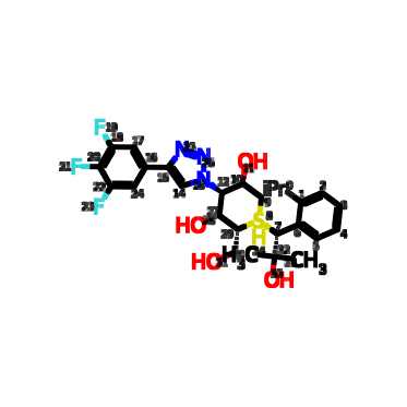 CC(C)c1ccccc1[C@@H]([SH]1C[C@H](O)[C@H](n2cc(-c3cc(F)c(F)c(F)c3)nn2)[C@@H](O)[C@H]1CO)C(C)(C)O